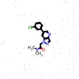 CN(C)C(=O)Cn1ncc2ncc(-c3cccc(Cl)c3)cc21